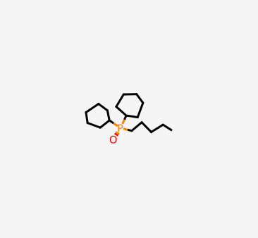 CCCCCP(=O)(C1CCCCC1)C1CCCCC1